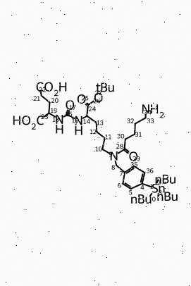 CCC[CH2][Sn]([CH2]CCC)([CH2]CCC)[c]1ccc(CN(CCCCC(NC(=O)NC(CCC(=O)O)C(=O)O)C(=O)OC(C)(C)C)C(=O)CCCCN)cc1